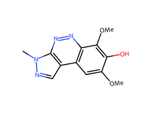 COc1cc2c(nnc3c2cnn3C)c(OC)c1O